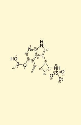 C=C(c1c(OB(C)O)cnc2[nH]ccc12)[C@H]1C[C@@H](NS(=O)(=O)CC)C1